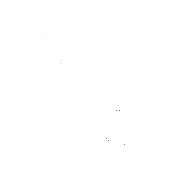 CC1=CC(=O)N(CCCN2CCCC2)C1=O